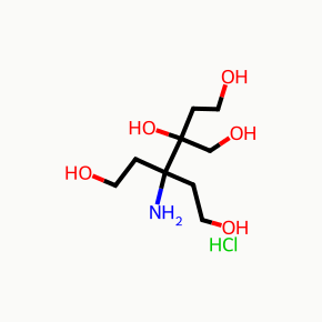 Cl.NC(CCO)(CCO)C(O)(CO)CCO